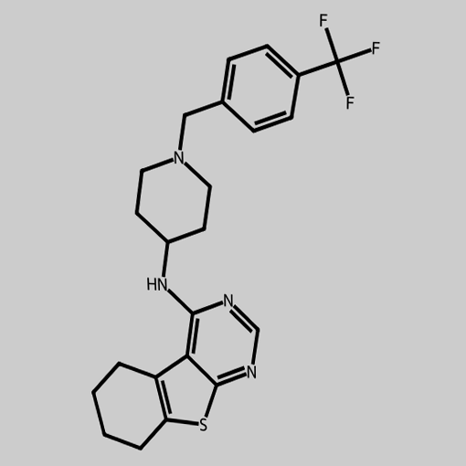 FC(F)(F)c1ccc(CN2CCC(Nc3ncnc4sc5c(c34)CCCC5)CC2)cc1